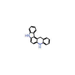 c1ccc2c(c1)Cc1c(ccc3[nH]c4ccccc4c13)N2